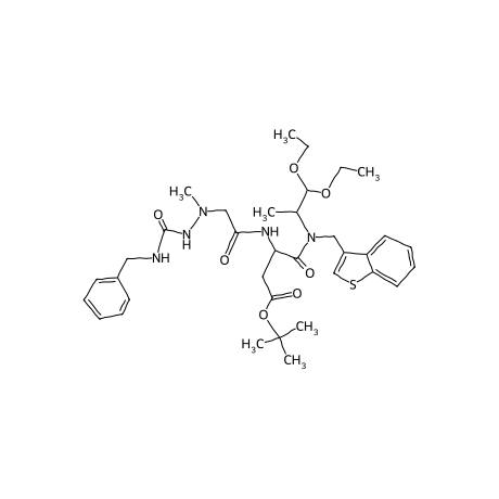 CCOC(OCC)C(C)N(Cc1csc2ccccc12)C(=O)C(CC(=O)OC(C)(C)C)NC(=O)CN(C)NC(=O)NCc1ccccc1